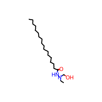 CCCCCCCCCCCCCCCCCC(=O)NN(CC)CO